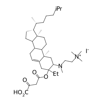 CCC1(OC(=O)CC(=O)C(=O)O)CC2=CCC3C(CC[C@@]4(C)C3CC[C@@H]4[C@H](C)CCCC(C)C)[C@@]2(C)CC1N(C)CC[N+](C)(C)C.[I-]